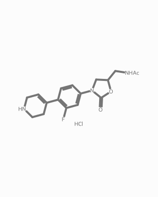 CC(=O)NCC1CN(c2ccc(C3=CCNCC3)c(F)c2)C(=O)O1.Cl